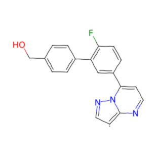 OCc1ccc(-c2cc(-c3ccnc4[c]cnn34)ccc2F)cc1